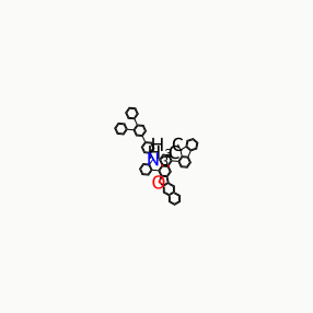 CC1(C)c2ccccc2-c2cccc(-c3ccc(N(c4ccc(-c5ccc(-c6ccccc6)c(-c6ccccc6)c5)cc4)c4ccccc4-c4cccc5c4oc4cc6ccccc6cc45)cc3)c21